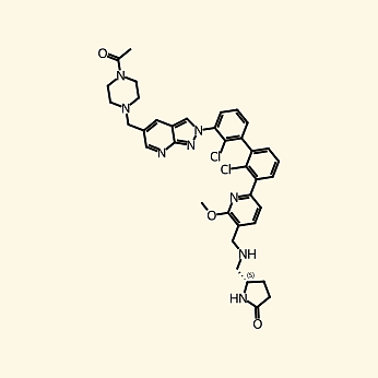 COc1nc(-c2cccc(-c3cccc(-n4cc5cc(CN6CCN(C(C)=O)CC6)cnc5n4)c3Cl)c2Cl)ccc1CNC[C@@H]1CCC(=O)N1